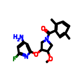 COC1CN(C(=O)c2cc(C)ccc2C)CC1Oc1cc(N)cc(F)n1